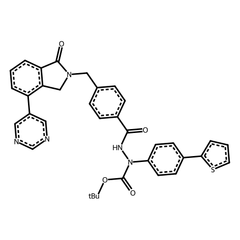 CC(C)(C)OC(=O)N(NC(=O)c1ccc(CN2Cc3c(cccc3-c3cncnc3)C2=O)cc1)c1ccc(-c2cccs2)cc1